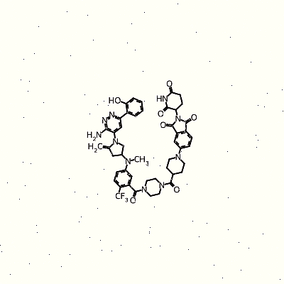 C=C1CC(N(C)c2ccc(C(F)(F)F)c(C(=O)N3CCN(C(=O)C4CCN(c5ccc6c(c5)C(=O)N(C5CCC(=O)NC5=O)C6=O)CC4)CC3)c2)CN1c1cc(-c2ccccc2O)nnc1N